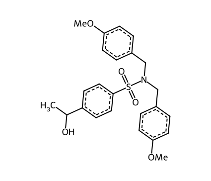 COc1ccc(CN(Cc2ccc(OC)cc2)S(=O)(=O)c2ccc(C(C)O)cc2)cc1